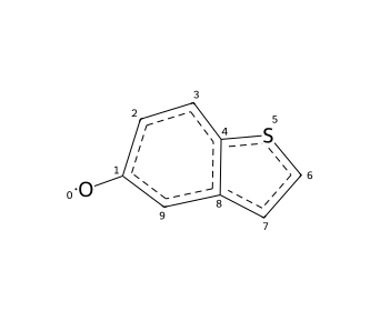 [O]c1ccc2sccc2c1